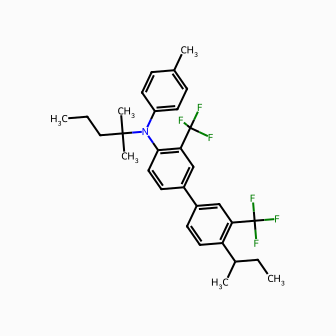 CCCC(C)(C)N(c1ccc(C)cc1)c1ccc(-c2ccc(C(C)CC)c(C(F)(F)F)c2)cc1C(F)(F)F